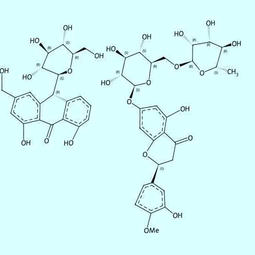 COc1ccc([C@@H]2CC(=O)c3c(O)cc(O[C@@H]4O[C@H](CO[C@@H]5O[C@@H](C)[C@H](O)[C@@H](O)[C@H]5O)[C@@H](O)[C@H](O)[C@H]4O)cc3O2)cc1O.O=C1c2c(O)cccc2[C@@H]([C@@H]2O[C@H](CO)[C@@H](O)[C@H](O)[C@H]2O)c2cc(CO)cc(O)c21